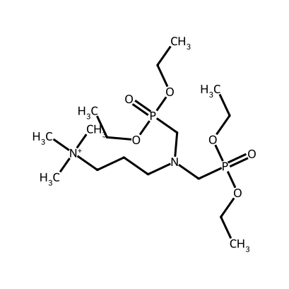 CCOP(=O)(CN(CCC[N+](C)(C)C)CP(=O)(OCC)OCC)OCC